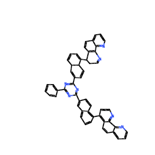 C1=CC2C=C(c3nc(-c4ccccc4)nc(-c4ccc5c(-c6ccnc7c6ccc6cccnc67)cccc5c4)n3)C=CC2C(C2CC=Nc3c2ccc2cccnc32)=C1